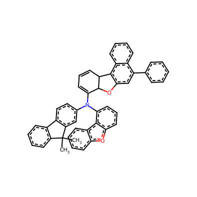 CC1(C)c2ccccc2-c2ccc(N(C3=CC=CC4c5c(cc(-c6ccccc6)c6ccccc56)OC34)c3cccc4oc5ccccc5c34)cc21